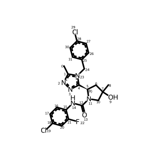 Cc1nnc([C@H]2CC(C)(O)CN2C(=O)Nc2ccc(Cl)cc2F)n1Cc1ccc(Cl)cc1